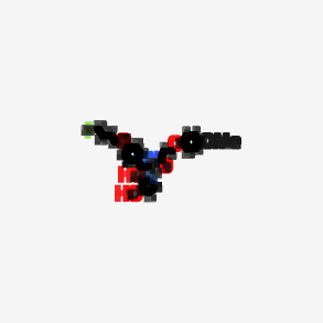 COc1ccc(OCCC(=O)N[C@H](CN2CC[C@@H](O)C2)[C@H](O)c2ccc(OCCCCF)cc2)cc1